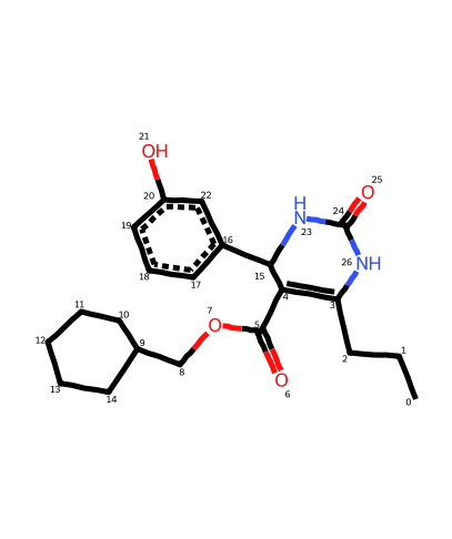 CCCC1=C(C(=O)OCC2CCCCC2)C(c2cccc(O)c2)NC(=O)N1